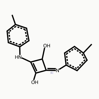 Cc1ccc(/N=C2/C(O)=C(Nc3ccc(C)cc3)C2O)cc1